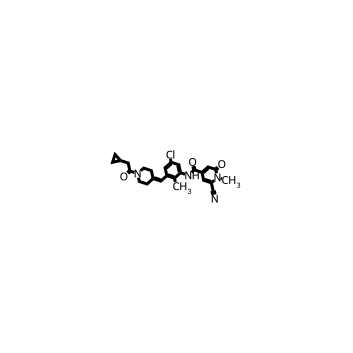 Cc1c(C=C2CCN(C(=O)CC3CC3)CC2)cc(Cl)cc1NC(=O)c1cc(C#N)n(C)c(=O)c1